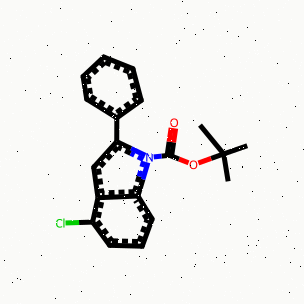 CC(C)(C)OC(=O)n1c(-c2ccccc2)cc2c(Cl)cccc21